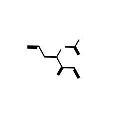 C=CCC(OC(N)=O)C(=O)C=C